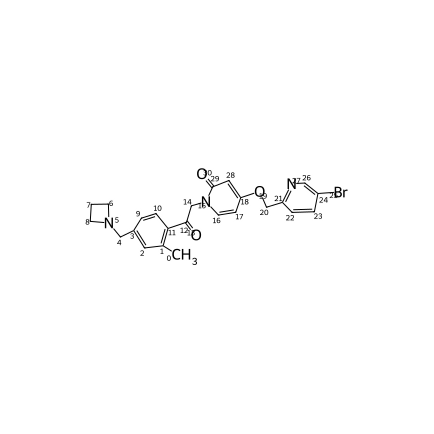 Cc1cc(CN2CCC2)ccc1C(=O)Cn1ccc(OCc2ccc(Br)cn2)cc1=O